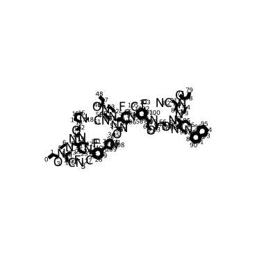 C=CC(=O)N1CCN(c2nc(OC[C@@H]3CCCN3C)nc3c2CCN(c2c(C(F)(F)F)ccc(C4C[C@H](COc5nc6c(c(N7CCN(C(=O)C=C)[C@@H](CC#N)C7)n5)CCN(c5cc(C7COC[C@H](COc8nc9c(c(N%10CCN(C(=O)C=C)C(CC#N)C%10)n8)CCN(c8cccc%10ccccc8%10)C9)N7C)cc(F)c5C(F)(F)F)C6)N(C)C4)c2F)C3)CC1CC#N